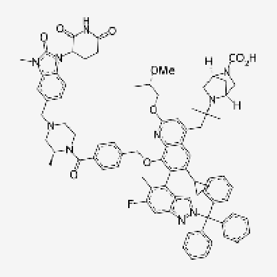 CO[C@@H](C)COc1cc(CC(C)(C)N2C[C@@H]3C[C@H]2CN3C(=O)O)c2cc(C3CC3)c(-c3c(C)c(F)cc4nn(C(c5ccccc5)(c5ccccc5)c5ccccc5)cc34)c(OCc3ccc(C(=O)N4CCN(Cc5ccc6c(c5)n(C)c(=O)n6C5CCC(=O)NC5=O)C[C@@H]4C)cc3)c2n1